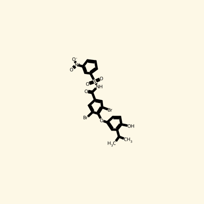 CC(C)c1cc(Oc2c(Br)cc(C(=O)NS(=O)(=O)c3cccc([N+](=O)[O-])c3)cc2Br)ccc1O